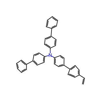 C=Cc1ccc(-c2ccc(N(c3ccc(-c4ccccc4)cc3)c3ccc(-c4ccccc4)cc3)cc2)cc1